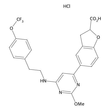 COc1nc(NCCc2ccc(OC(F)(F)F)cc2)cc(-c2ccc3c(c2)CC(C(=O)O)O3)n1.Cl